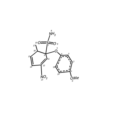 COc1ccc(OC2(S(N)(=O)=O)C=C([N+](=O)[O-])C=CC2C)cc1